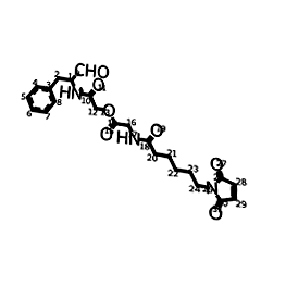 O=CC(Cc1ccccc1)NC(=O)COC(=O)CNC(=O)CCCCCN1C(=O)C=CC1=O